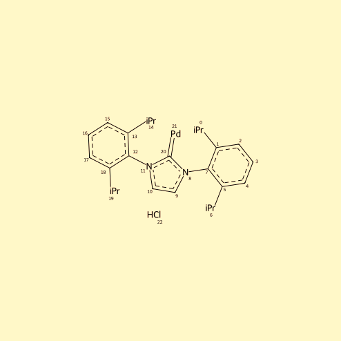 CC(C)c1cccc(C(C)C)c1-n1ccn(-c2c(C(C)C)cccc2C(C)C)[c]1=[Pd].Cl